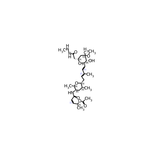 CNNC(=O)C[C@@H]1C[C@](C)(OC)[C@H](O)[C@@H](/C=C/C(C)=C/C[C@@H]2O[C@H](C)[C@H](NC(=O)/C=C\[C@H](C)OC(C)=O)C[C@@H]2C)O1